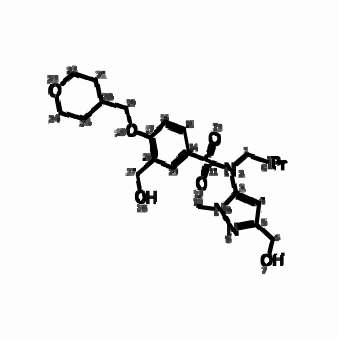 CC(C)CN(c1cc(CO)nn1C)S(=O)(=O)c1ccc(OCC2CCOCC2)c(CO)c1